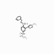 CNS(=O)(=O)c1ccc(NCCc2ccccc2)c(-c2cn(C)cn2)c1